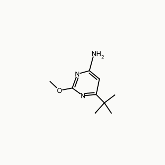 COc1nc(N)cc(C(C)(C)C)n1